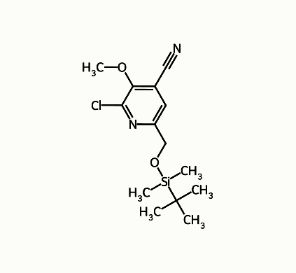 COc1c(C#N)cc(CO[Si](C)(C)C(C)(C)C)nc1Cl